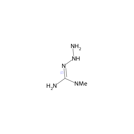 CN/C(N)=N\NN